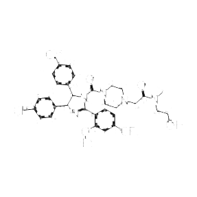 CCOc1cc(C(F)(F)F)ccc1C1=NC(c2ccc(Cl)cc2)C(c2ccc(Cl)cc2)N1C(=O)N1CCN(CC(=O)N(C)CCO)CC1